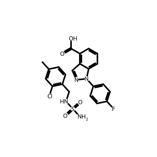 Cc1ccc(CNS(N)(=O)=O)c(Cl)c1.O=C(O)c1cccc2c1cnn2-c1ccc(F)cc1